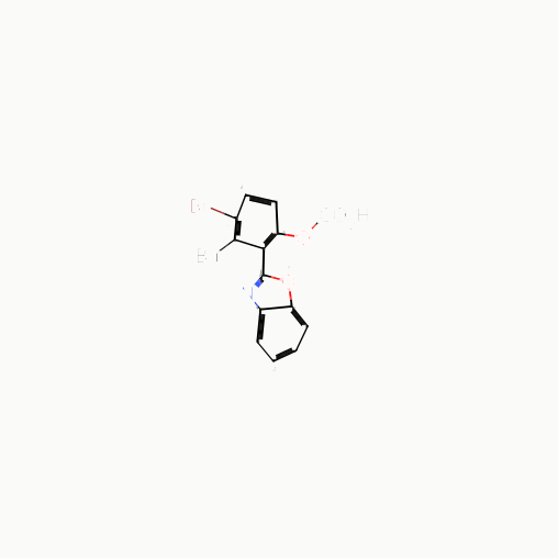 CC(C)(C)c1c(Br)ccc(OC(=O)O)c1-c1nc2ccccc2o1